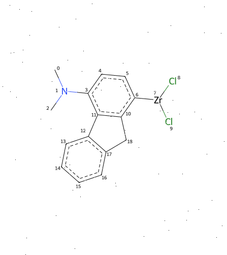 CN(C)c1cc[c]([Zr]([Cl])[Cl])c2c1-c1ccccc1C2